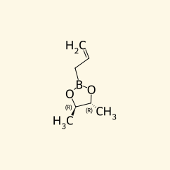 C=CCB1O[C@H](C)[C@@H](C)O1